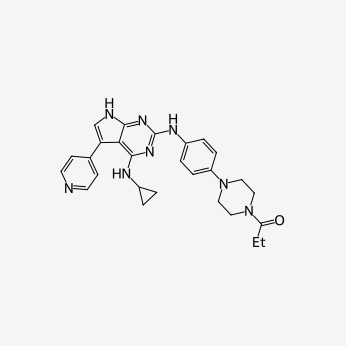 CCC(=O)N1CCN(c2ccc(Nc3nc(NC4CC4)c4c(-c5ccncc5)c[nH]c4n3)cc2)CC1